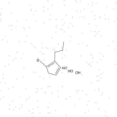 CCCC1=[C]([Zr])CC=C1.Cl.Cl.Cl